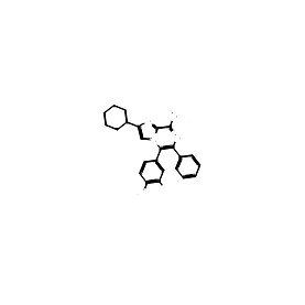 Nc1nc(-c2ccccc2)c(-c2ccc(O)c(Cl)c2)n2cc(C3CCCCC3)nc12